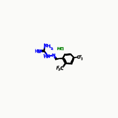 Cl.N=C(N)NN=Cc1ccc(C(F)(F)F)cc1C(F)(F)F